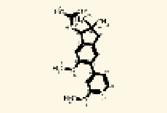 COc1cc(-c2cc3c(cc2OC)C(NC(=O)O)C(C)(C)C3)ccn1